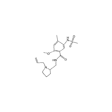 C=CCN1CCCC1CNC(=O)c1cc(NS(C)(=O)=O)c(C)cc1OC